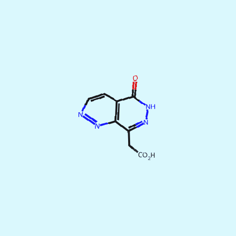 O=C(O)Cc1n[nH]c(=O)c2ccnnc12